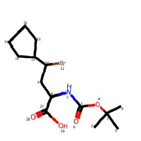 CC(C)(C)OC(=O)NC(CC(Br)C1CCCC1)C(=O)O